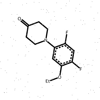 CCOc1cc(N2CCC(=O)CC2)c(F)cc1F